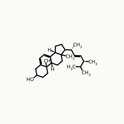 CC(C)[C@H](C)/C=C/[C@@H](C)C1CC[C@H]2C3=CC=C4CC(O)CCC4(C)[C@H]3CCC12C